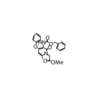 COC(=O)Cn1c(C)cc(Oc2ccccc2)c(NC(=O)OCc2ccccc2)c1=O